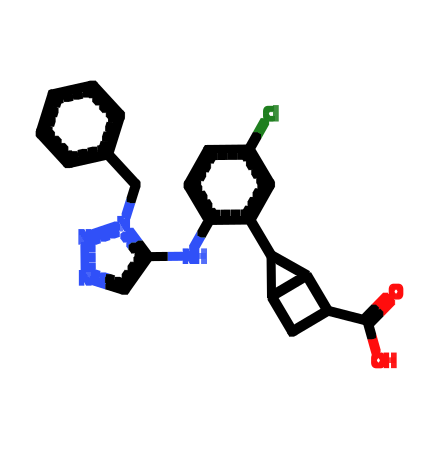 O=C(O)C1CC2C(c3cc(Cl)ccc3Nc3cnnn3Cc3ccccc3)C12